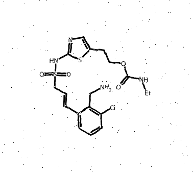 CCNC(=O)OCCc1cnc(NS(=O)(=O)CC=Cc2cccc(Cl)c2CN)s1